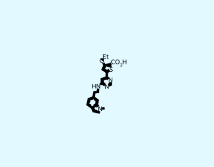 CCOc1cc(-c2cc(NCCc3ccc4ccn(C)c4c3)ncn2)sc1C(=O)O